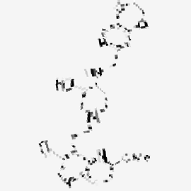 COc1ccc2ncc(Cl)c(CCN3CCC(NCc4cc5c(cn4)OCCO5)C(O)C3)c2n1